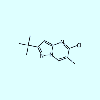 Cc1[c]n2nc(C(C)(C)C)cc2nc1Cl